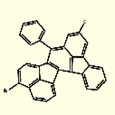 Clc1cc2c(-c3ccccc3)c3c4ccc(Br)c5cccc(c54)c3c3c4ccccc4c(c1)c23